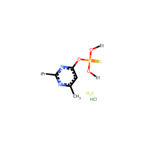 CCOP(=S)(OCC)Oc1cc(C)nc(C(C)C)n1.Cl.S